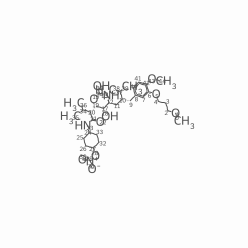 COCCCOc1cc(C[C@H](C[C@H](NC(=O)O)[C@H](O)C[C@H](C(=O)NC2CCC(O[N+](=O)[O-])CC2)C(C)C)C(C)C)ccc1OC